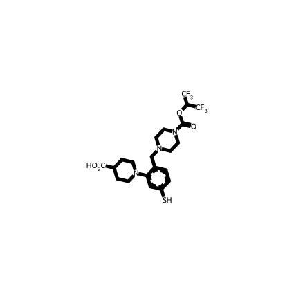 O=C(O)C1CCN(c2cc(S)ccc2CN2CCN(C(=O)OC(C(F)(F)F)C(F)(F)F)CC2)CC1